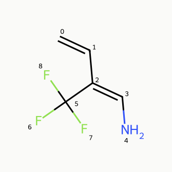 C=CC(=CN)C(F)(F)F